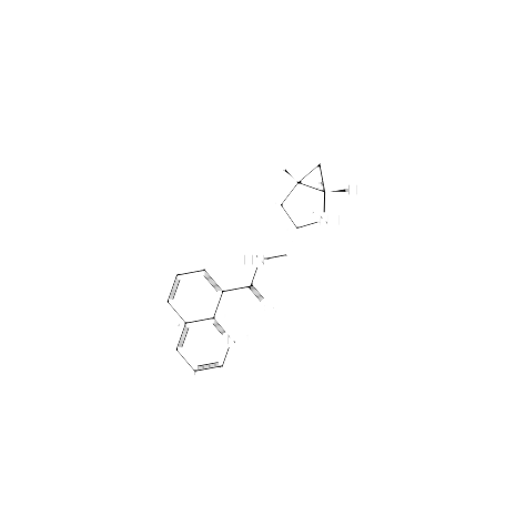 O=C(NC[C@@H]1C[C@@H]2C[C@@H]2N1)c1cccc2cccnc12